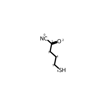 N#CC(=O)CCCS